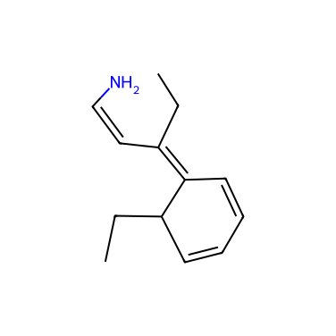 CCC(/C=C\N)=C1\C=CC=CC1CC